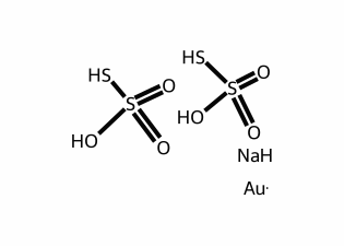 O=S(=O)(O)S.O=S(=O)(O)S.[Au].[NaH]